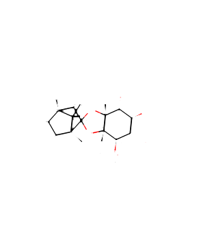 CC1(C)[C@@H]2CC[C@@]1(C)C1(C2)O[C@@H]2[C@H](O)[C@@H](O)[C@H](O)[C@@H](O)[C@@H]2O1